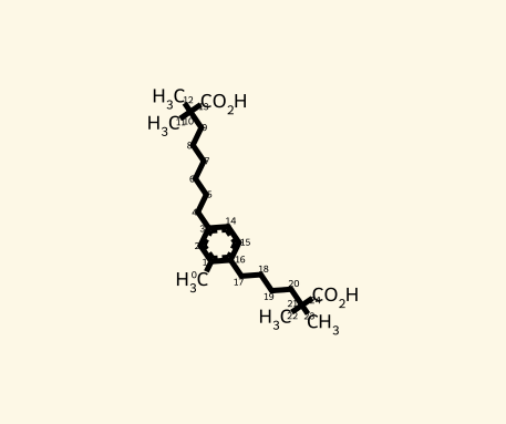 Cc1cc(CCCCCCC(C)(C)C(=O)O)ccc1CCCCC(C)(C)C(=O)O